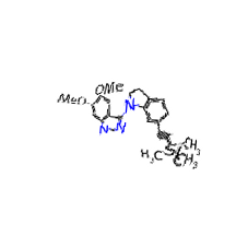 COc1cc2ncnc(N3CCc4ccc(C#C[Si](C)(C)C)cc43)c2cc1OC